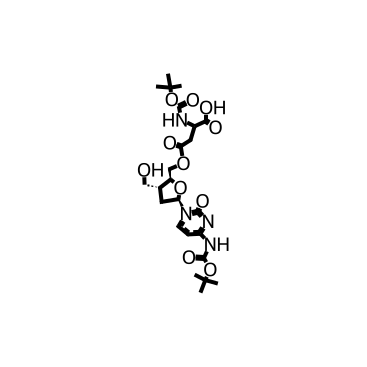 CC(C)(C)OC(=O)Nc1ccn([C@H]2C[C@H](CO)[C@@H](COC(=O)CC(NC(=O)OC(C)(C)C)C(=O)O)O2)c(=O)n1